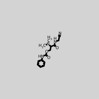 CN(C)C(COC(=O)Nc1ccccc1)C(=O)NCC#N